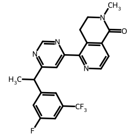 CC(c1cc(F)cc(C(F)(F)F)c1)c1cc(-c2nccc3c2CCN(C)C3=O)ncn1